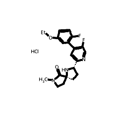 CCOc1ccc(F)c(-c2cc([C@@H]3CC[C@@]4(CCN(C)C4=O)N3)ncc2F)c1.Cl